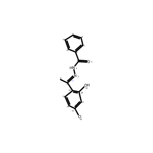 C/C(=N\NC(=O)c1ccccc1)c1ccc(Cl)cc1O